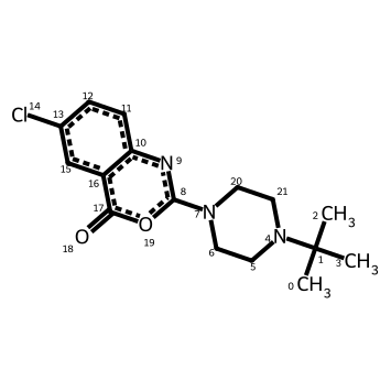 CC(C)(C)N1CCN(c2nc3ccc(Cl)cc3c(=O)o2)CC1